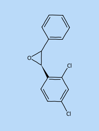 Clc1ccc([C@H]2OC2c2ccccc2)c(Cl)c1